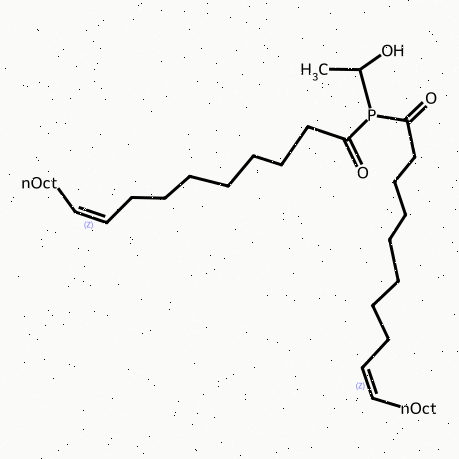 CCCCCCCC/C=C\CCCCCCCC(=O)P(C(=O)CCCCCCC/C=C\CCCCCCCC)C(C)O